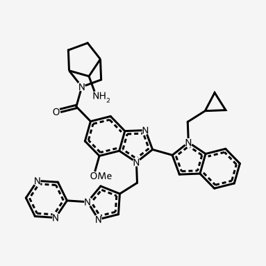 COc1cc(C(=O)N2CC3CCC2C3N)cc2nc(-c3cc4ccccc4n3CC3CC3)n(Cc3cnn(-c4cnccn4)c3)c12